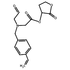 C=Cc1ccc(CN(CC=O)CC(=O)OC2CCOC2=O)cc1